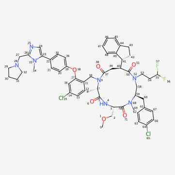 COC[C@@H]1NC(=O)[C@H](C)N(Cc2ccc(Cl)cc2Oc2ccc(-c3cnc(CN4CCCC4)n3C)cc2)C(=O)C[C@@H]([C@H]2CCc3ccccc32)C(=O)N(CCC(F)F)C[C@@H](Cc2ccc(Cl)cc2)N(C)C1=O